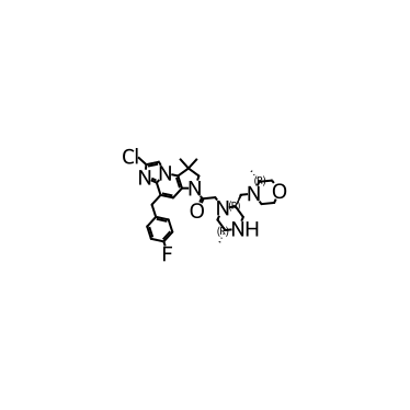 C[C@@H]1CN(CC(=O)N2CC(C)(C)c3c2cc(Cc2ccc(F)cc2)c2nc(Cl)cn32)[C@@H](CN2CCOC[C@H]2C)CN1